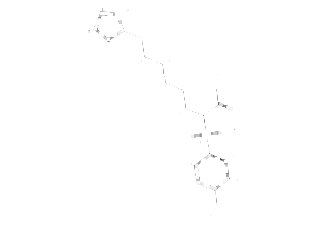 COc1ccc(S(=O)(=O)C(CCCCCCc2cccs2)C(=O)O)cc1